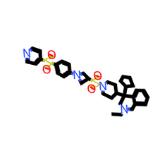 CCN1Cc2ccccc2C(C2CCCC2)(C2CCN(S(=O)(=O)C3CN(c4ccc(S(=O)(=O)c5ccncc5)cc4)C3)CC2)C1